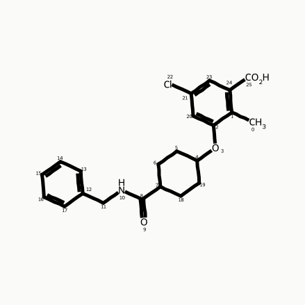 Cc1c(OC2CCC(C(=O)NCc3ccccc3)CC2)cc(Cl)cc1C(=O)O